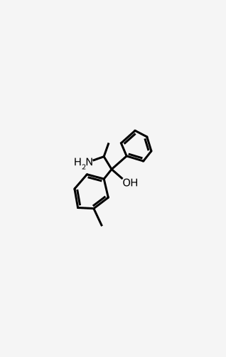 Cc1cccc(C(O)(c2ccccc2)C(C)N)c1